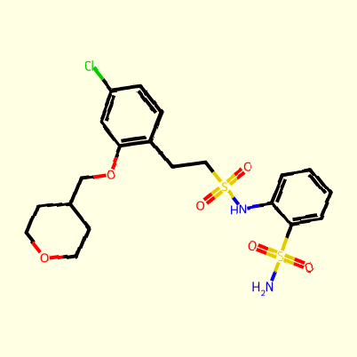 NS(=O)(=O)c1ccccc1NS(=O)(=O)CCc1ccc(Cl)cc1OCC1CCOCC1